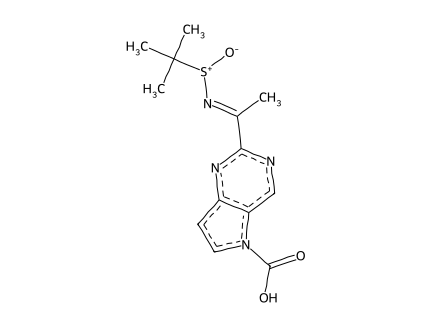 CC(=N[S+]([O-])C(C)(C)C)c1ncc2c(ccn2C(=O)O)n1